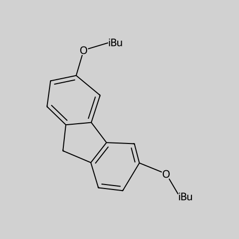 CCC(C)Oc1ccc2c(c1)-c1cc(OC(C)CC)ccc1C2